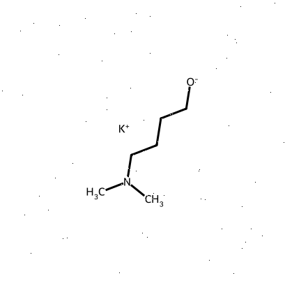 CN(C)CCCC[O-].[K+]